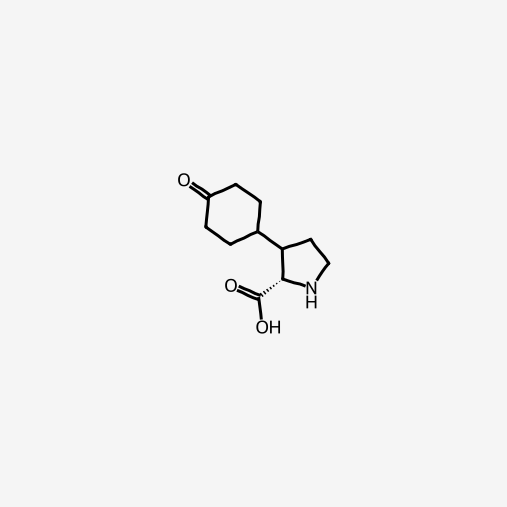 O=C1CCC(C2CCN[C@@H]2C(=O)O)CC1